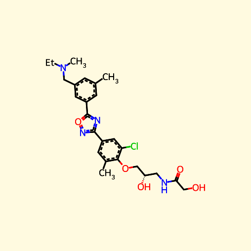 CCN(C)Cc1cc(C)cc(-c2nc(-c3cc(C)c(OC[C@@H](O)CNC(=O)CO)c(Cl)c3)no2)c1